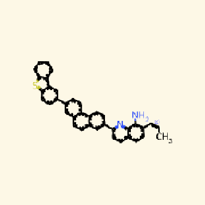 C/C=C\c1ccc2ccc(-c3ccc4c(ccc5cc(-c6ccc7sc8ccccc8c7c6)ccc54)c3)nc2c1N